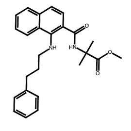 COC(=O)C(C)(C)NC(=O)c1ccc2ccccc2c1NCCCc1ccccc1